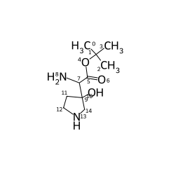 CC(C)(C)OC(=O)C(N)C1(O)CCNC1